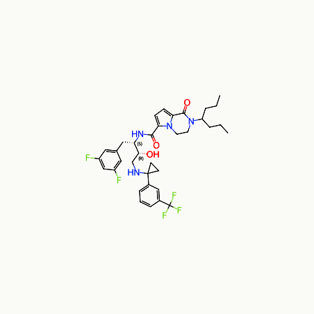 CCCC(CCC)N1CCn2c(C(=O)N[C@@H](Cc3cc(F)cc(F)c3)[C@H](O)CNC3(c4cccc(C(F)(F)F)c4)CC3)ccc2C1=O